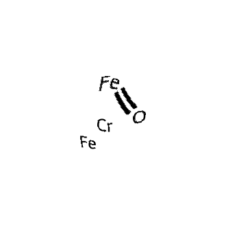 [Cr].[Fe].[O]=[Fe]